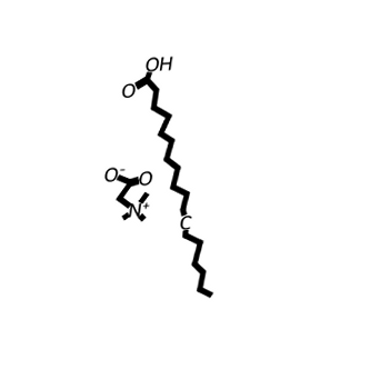 CCCCCCCCCCCCCCCCCC(=O)O.C[N+](C)(C)CC(=O)[O-]